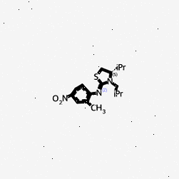 Cc1cc([N+](=O)[O-])ccc1/N=C1\SC[C@H](C(C)C)N1CC(C)C